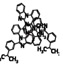 CC(C)c1cccc(-c2nc3ccccc3n2-c2ccccc2-c2nc(-c3ccccc3-n3c(-c4cccc(C(C)C)c4)nc4ccccc43)nc(-c3ccccc3-n3c(-c4cccc(C(C)C)c4)nc4ccccc43)n2)c1